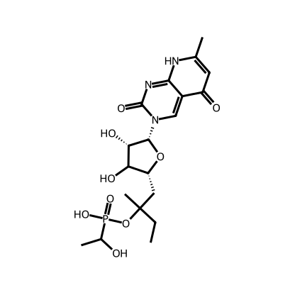 CCC(C)(C[C@H]1O[C@@H](n2cc3c(=O)cc(C)[nH]c3nc2=O)[C@@H](O)C1O)OP(=O)(O)C(C)O